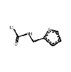 CCC(=O)NCc1cccs1